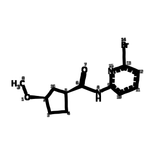 CO[C@@H]1CC[C@H](C(=O)Nc2cccc(Br)n2)C1